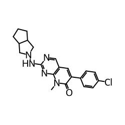 Cn1c(=O)c(-c2ccc(Cl)cc2)cc2cnc(NN3CC4CCCC4C3)nc21